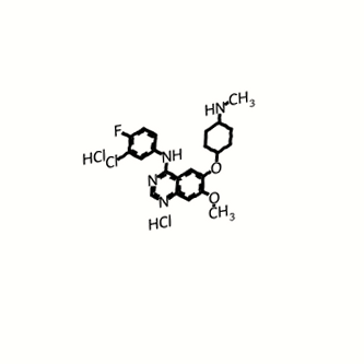 CNC1CCC(Oc2cc3c(Nc4ccc(F)c(Cl)c4)ncnc3cc2OC)CC1.Cl.Cl